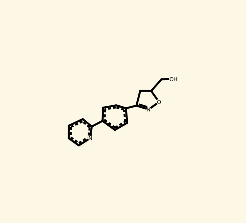 OCC1CC(c2ccc(-c3ccccn3)cc2)=NO1